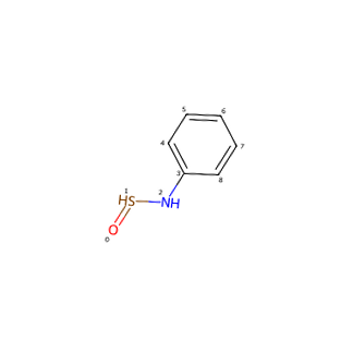 O=[SH]Nc1ccccc1